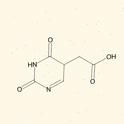 O=C(O)CC1C=NC(=O)NC1=O